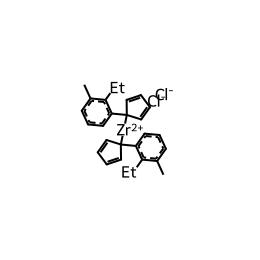 CCc1c(C)cccc1[C]1([Zr+2][C]2(c3cccc(C)c3CC)C=CC=C2)C=CC=C1.[Cl-].[Cl-]